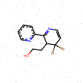 OCCC1C(c2ccccn2)=NC=CC1(Br)Br